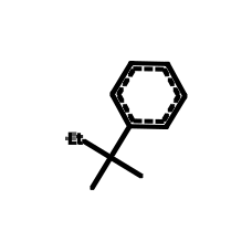 C[CH]C(C)(C)c1ccccc1